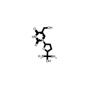 BC(B)(O)C1CCC(n2cc(CO)c(=O)[nH]c2=O)O1